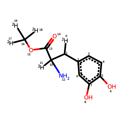 [2H]C(c1ccc(O)c(O)c1)C([2H])(N)C(=O)OC([2H])([2H])[2H]